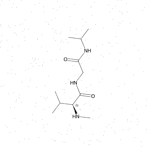 CN[C@H](C(=O)NCC(=O)NC(C)C)C(C)C